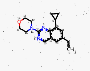 C=Cc1cc(C2CC2)c2nc(N3CCOCC3)ncc2c1